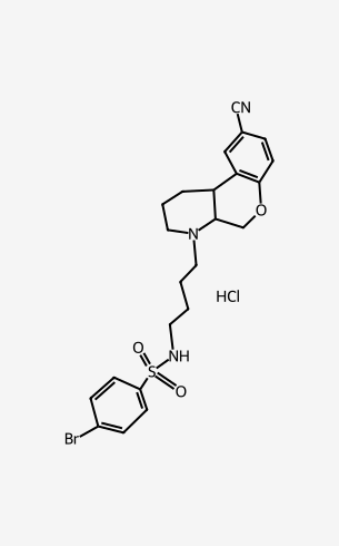 Cl.N#Cc1ccc2c(c1)C1CCCN(CCCCNS(=O)(=O)c3ccc(Br)cc3)C1CO2